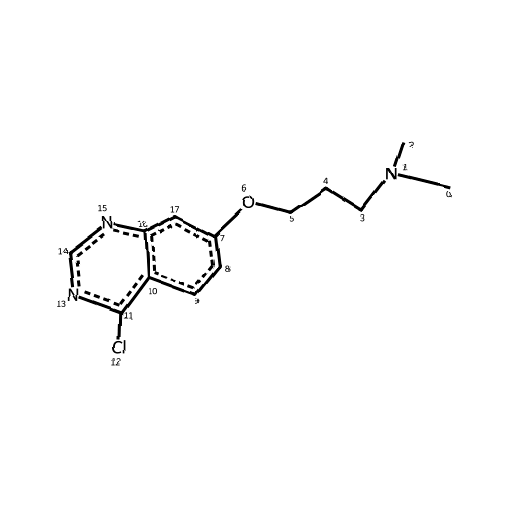 CN(C)CCCOc1ccc2c(Cl)ncnc2c1